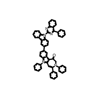 O=C1CN(c2ccccc2)C(c2ccccc2)=Cc2c1c1cc(-c3ccc4c(c3)c3ccccc3n4-c3nc(-c4ccccc4)c4ccccc4n3)ccc1n2-c1ccccc1